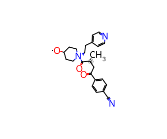 C[C@H](CC(=O)c1ccc(C#N)cc1)C(=O)[N+]1(CCc2ccncc2)CCC([O])CC1